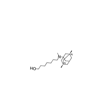 CN(CCCCCCCO)C12CC3C[C@@](C)(C1)C[C@](C)(C3)C2